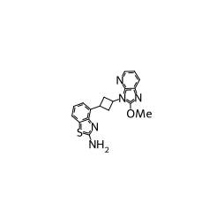 COc1nc2cccnc2n1C1CC(c2cccc3sc(N)nc23)C1